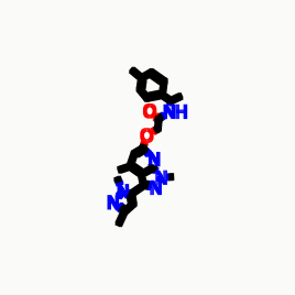 Cc1ccc(C(C)NC(=O)COc2cc(C)c3c(-c4cc(C)nn4C)nn(C)c3n2)cc1